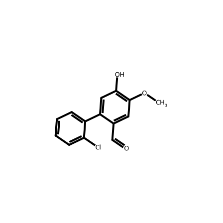 COc1cc(C=O)c(-c2ccccc2Cl)cc1O